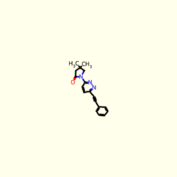 CC1(C)CC(=O)N(c2ccc(C#Cc3ccccc3)nn2)C1